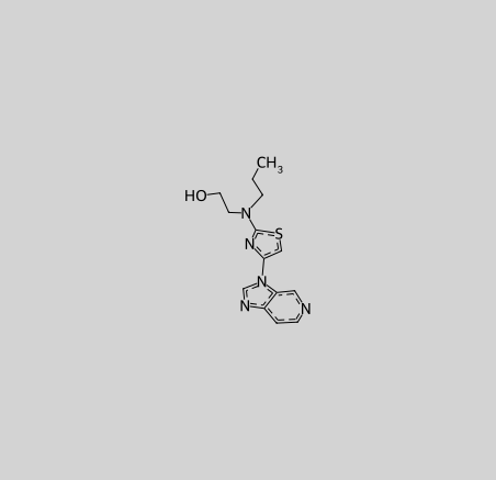 CCCN(CCO)c1nc(-n2cnc3ccncc32)cs1